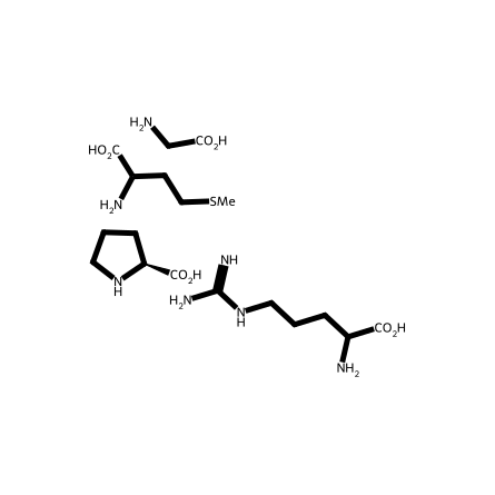 CSCCC(N)C(=O)O.N=C(N)NCCCC(N)C(=O)O.NCC(=O)O.O=C(O)[C@@H]1CCCN1